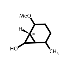 COC1CCC(C)C2C(O)[C@H]12